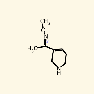 CO/N=C(\C)C1=CCCNC1